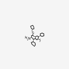 CSc1cc2c(-c3ccccc3)c(N)cc(OCc3ccccc3)c2cc1-c1ccccc1